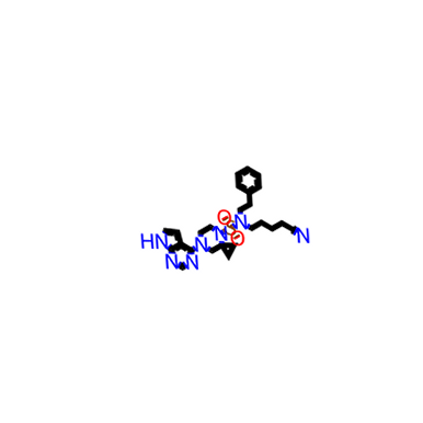 N#CCCCCN(CCc1ccccc1)S(=O)(=O)N1CCN(c2ncnc3[nH]ccc23)CC12CC2